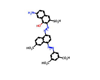 Nc1ccc2cc(S(=O)(=O)O)c(/N=N/c3ccc(/N=N/c4cc(C(=O)O)cc(C(=O)O)c4)c4cc(S(=O)(=O)O)ccc34)c(O)c2c1